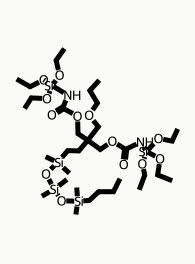 CCCC[Si](C)(C)O[Si](C)(C)O[Si](C)(C)CCC(COCCC)(COC(=O)N[Si](OCC)(OCC)OCC)COC(=O)N[Si](OCC)(OCC)OCC